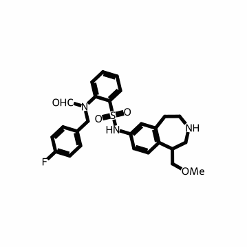 COCC1CNCCc2cc(NS(=O)(=O)c3ccccc3N(C=O)Cc3ccc(F)cc3)ccc21